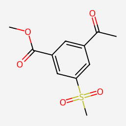 COC(=O)c1cc(C(C)=O)cc(S(C)(=O)=O)c1